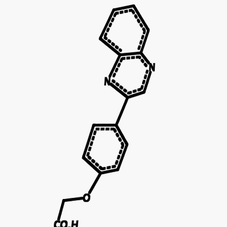 O=C(O)COc1ccc(-c2cnc3ccccc3n2)cc1